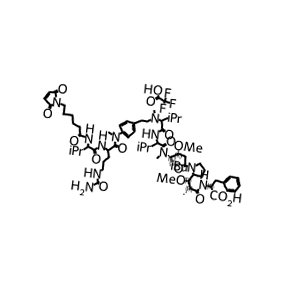 CC[C@H](C)[C@@H]([C@@H](CC(=O)N1CCCC1[C@H](OC)[C@@H](C)C(=O)N[C@@H](Cc1ccccc1)C(=O)O)OC)N(C)C(=O)C(NC(=O)C(C(C)C)N(C)CCc1ccc(N(C)C(=O)C(CCCNC(N)=O)NC(=O)C(NC(=O)CCCCCN2C(=O)C=CC2=O)C(C)C)cc1)C(C)C.O=C(O)C(F)(F)F